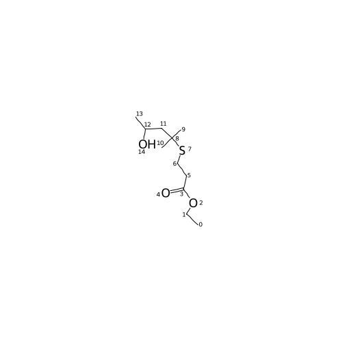 CCOC(=O)CCSC(C)(C)CC(C)O